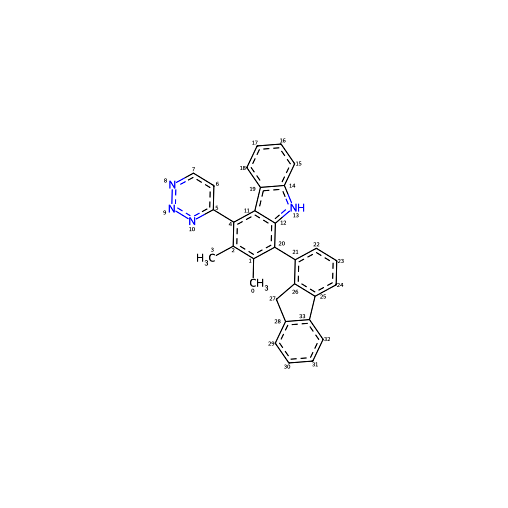 Cc1c(C)c(-c2ccnnn2)c2c([nH]c3ccccc32)c1-c1cccc2c1Cc1ccccc1-2